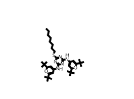 CCCCCCCCSc1nc(NC2=CC(C(C)(C)C)OC(C(C)(C)C)=C2)nc(NC2=CC(C(C)(C)C)OC(C(C)(C)C)=C2)n1